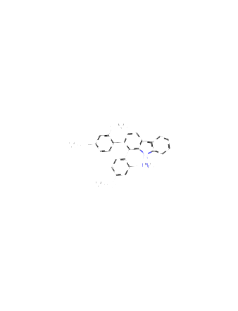 COc1ccc(-c2ccc3c([nH]c4ccccc43)c2-c2ccc(OC)cc2OC)c(OC)c1